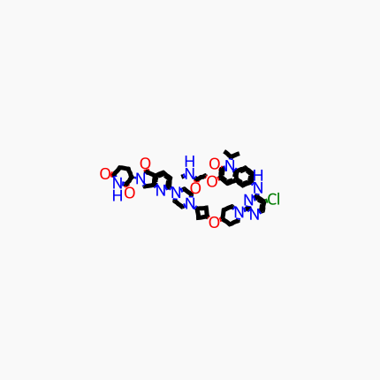 CNC(=O)COc1cc2cc(Nc3nc(N4CCC(OC5CC(N6CCN(c7ccc8c(n7)CN([C@@H]7CCC(=O)NC7=O)C8=O)CC6)C5)CC4)ncc3Cl)ccc2n(C(C)C)c1=O